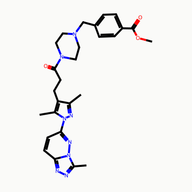 COC(=O)c1ccc(CN2CCN(C(=O)CCc3c(C)nn(-c4ccc5nnc(C)n5n4)c3C)CC2)cc1